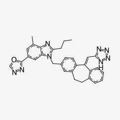 CCCc1nc2c(C)cc(-c3nnco3)cc2n1Cc1ccc2c(c1)CCc1ccccc1/C2=C\c1nnn[nH]1